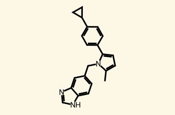 Cc1ccc(-c2ccc(C3CC3)cc2)n1Cc1ccc2[nH]cnc2c1